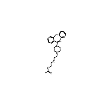 CC(=O)OCCOCCN1CCN(C2=Nc3ccccc3Cc3ccccc32)CC1